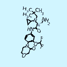 CC(C)(C)CN(C1CC1)[C@H](CN)C(=O)Nc1ccc(N2CCOCC2=O)c(OC(F)F)c1